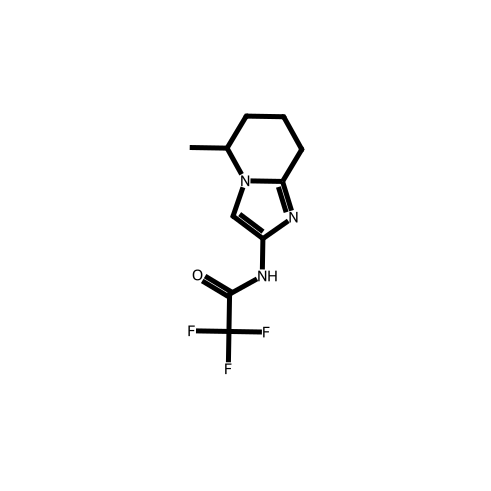 CC1CCCc2nc(NC(=O)C(F)(F)F)cn21